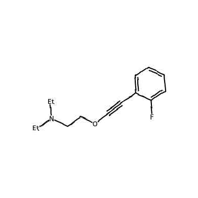 CCN(CC)CCOC#Cc1ccccc1F